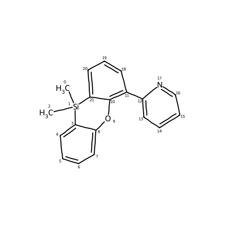 C[Si]1(C)c2ccccc2Oc2c(-c3ccccn3)cccc21